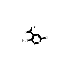 CC(C)C(=O)c1cc(Cl)ncc1N